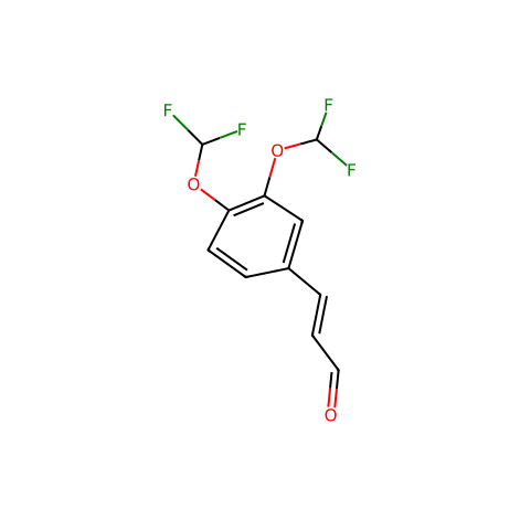 O=C/C=C/c1ccc(OC(F)F)c(OC(F)F)c1